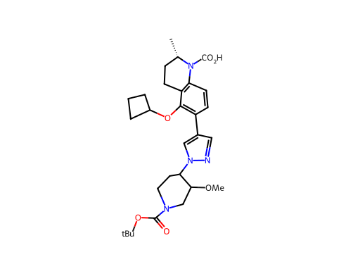 COC1CN(C(=O)OC(C)(C)C)CCC1n1cc(-c2ccc3c(c2OC2CCC2)CC[C@H](C)N3C(=O)O)cn1